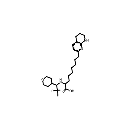 O=C(O)C(CCCCCCCc1ccc2c(n1)NCCC2)NC(C1CCOCC1)C(F)(F)F